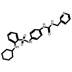 O=C(NCc1cccnc1)Nc1ccc(NS(=O)(=O)c2ccccc2NC2CCCCC2)cc1